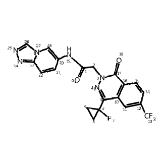 O=C(Cn1nc(C2(F)CC2)c2cc(C(F)(F)F)ccc2c1=O)Nc1ccc2nncn2c1